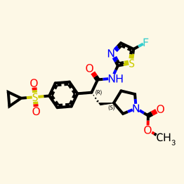 COC(=O)N1CC[C@H](C[C@@H](C(=O)Nc2ncc(F)s2)c2ccc(S(=O)(=O)C3CC3)cc2)C1